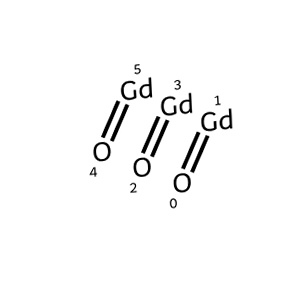 [O]=[Gd].[O]=[Gd].[O]=[Gd]